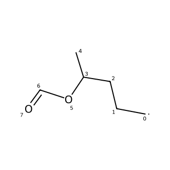 [CH2]CCC(C)OC=O